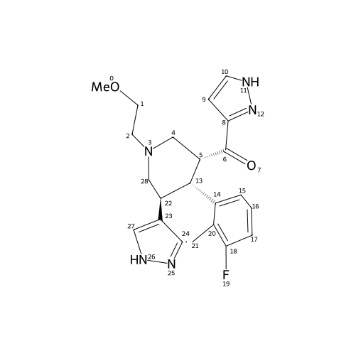 COCCN1C[C@H](C(=O)c2cc[nH]n2)[C@H](c2cccc(F)c2C)[C@@H](c2[c]n[nH]c2)C1